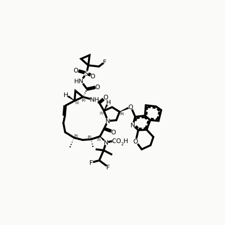 C[C@@H]1CCC=C[C@@H]2C[C@@]2(C(=O)NS(=O)(=O)C2(CF)CC2)NC(=O)[C@@H]2C[C@@H](Oc3nc4c(c5ccccc35)CCCO4)CN2C(=O)[C@@H](N(C(=O)O)C(C)(C)C(F)F)[C@H](C)C1